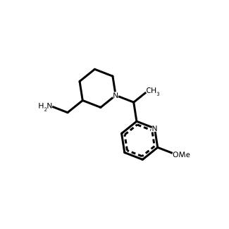 COc1cccc(C(C)N2CCCC(CN)C2)n1